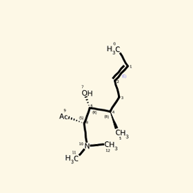 C/C=C/C[C@@H](C)[C@@H](O)[C@@H](C(C)=O)N(C)C